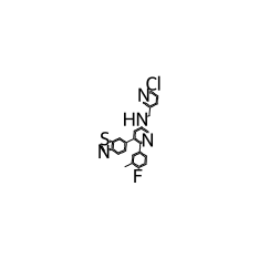 Cc1cc(-c2ncc(NCc3ccc(Cl)nc3)cc2-c2ccc3ncsc3c2)ccc1F